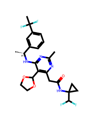 Cc1nc(CC(=O)NC2(C(F)F)CC2)c(C2OCCO2)c(N[C@H](C)c2cccc(C(C)(F)F)c2)n1